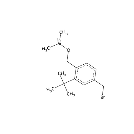 C[SiH](C)OCc1ccc(CBr)cc1C(C)(C)C